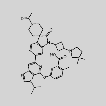 CC(=O)N1CCC2(CC1)C(=O)N(C1CC(N3CCC(C)(C)C3)C1)c1cc(-c3cc4ncn(C(C)C)c4c(Oc4ccc(C)c(C(=O)O)c4)n3)ccc12